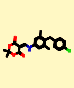 Cc1cc(NC=C2C(=O)OC(C)(C)OC2=O)cc(C)c1Cc1ccc(Cl)cc1